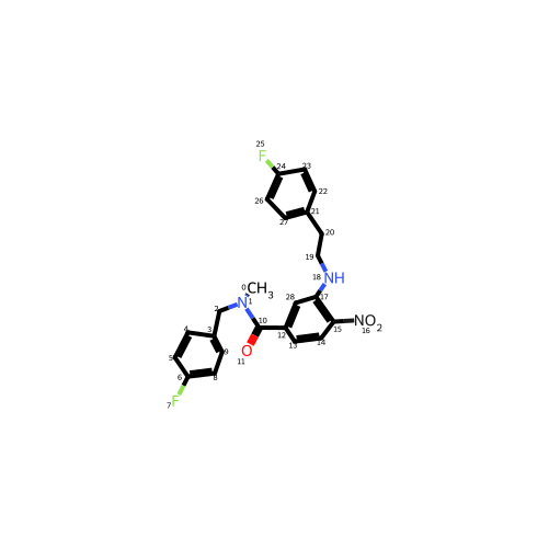 CN(Cc1ccc(F)cc1)C(=O)c1ccc([N+](=O)[O-])c(NCCc2ccc(F)cc2)c1